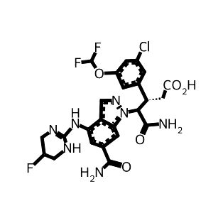 NC(=O)c1cc(NC2=NCC(F)CN2)c2cnn(C(C(N)=O)[C@@H](CC(=O)O)c3cc(Cl)cc(OC(F)F)c3)c2c1